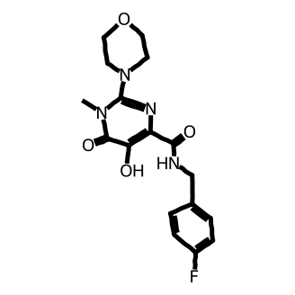 Cn1c(N2CCOCC2)nc(C(=O)NCc2ccc(F)cc2)c(O)c1=O